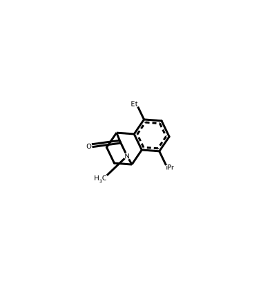 CCc1ccc(C(C)C)c2c1C1CCC2N(C)C1=O